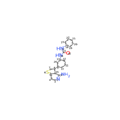 Nc1nccc2scc(-c3cccc(NC(=O)Nc4ccccc4)c3)c12